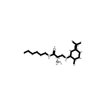 CCCCCCOC(=O)[C@@H](N)CSC1CC(=C(C)C)CCC1C